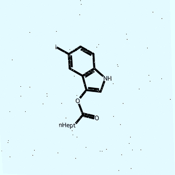 CCCCCCCC(=O)Oc1c[nH]c2ccc(I)cc12